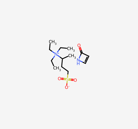 CC[N+](CC)(CC)C(C)CCS(=O)(=O)[O-].O=C1C=CN1